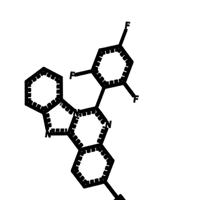 N#Cc1ccc2c(c1)nc(-c1c(F)cc(F)cc1F)n1c3ccccc3nc21